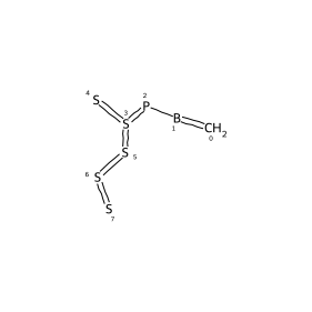 C=BP=S(=S)=S=S=S